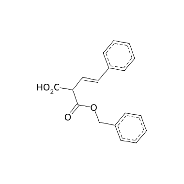 O=C(O)C(C=Cc1ccccc1)C(=O)OCc1ccccc1